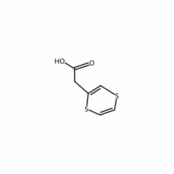 O=C(O)CC1=CSC=CS1